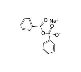 O=C(OP(=O)([O-])c1ccccc1)c1ccccc1.[Na+]